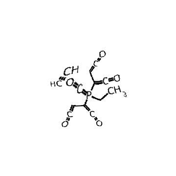 C#C.CCP(=C=O)(C(=C=O)C=C=O)C(=C=O)C=C=O